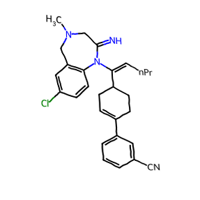 CCC/C=C(\C1CC=C(c2cccc(C#N)c2)CC1)N1C(=N)CN(C)Cc2cc(Cl)ccc21